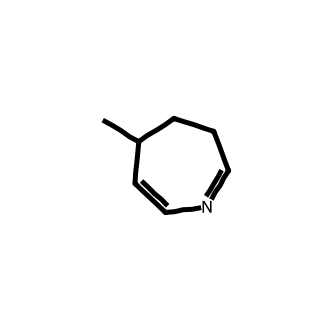 CC1C=CN=CCC1